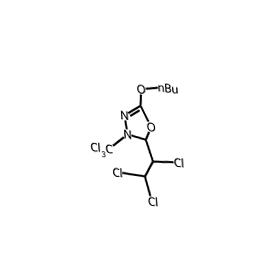 CCCCOC1=NN(C(Cl)(Cl)Cl)C(C(Cl)C(Cl)Cl)O1